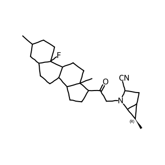 CC1CCC2(F)C(CCC3C4CCC(C(=O)CN5C(C#N)CC6C5[C@@H]6C)C4(C)CCC32)C1